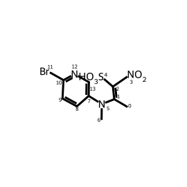 CC(=C([N+](=O)[O-])S(=O)(=O)O)N(C)c1ccc(Br)nc1